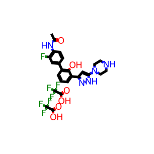 CC(=O)Nc1ccc(-c2cccc(-c3cc(N4CCNCC4)[nH]n3)c2O)cc1F.O=C(O)C(F)(F)F.O=C(O)C(F)(F)F